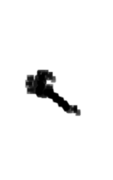 CCCCCCCCCC(=O)NC(C(=O)O)C(C)OC(C)(C)C